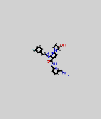 NCc1cccc(CNC(=O)c2ccc(N3CC[C@@H](O)C3)nc2NCCc2cccc(F)c2)n1